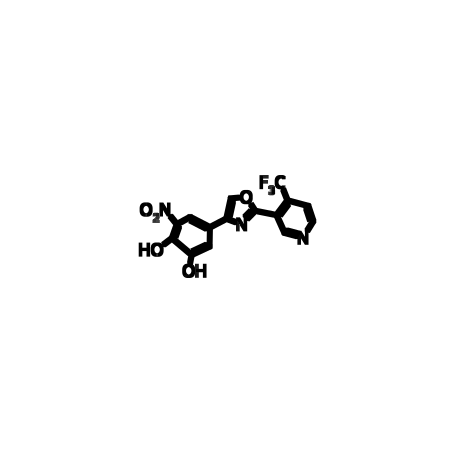 O=[N+]([O-])c1cc(-c2coc(-c3cnccc3C(F)(F)F)n2)cc(O)c1O